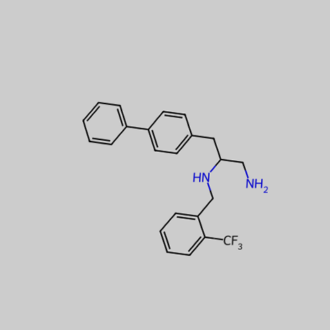 NCC(Cc1ccc(-c2ccccc2)cc1)NCc1ccccc1C(F)(F)F